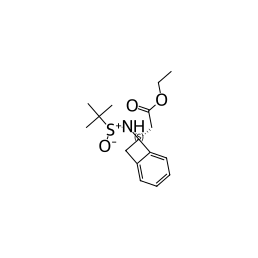 CCOC(=O)C[C@@]1(N[S+]([O-])C(C)(C)C)Cc2ccccc21